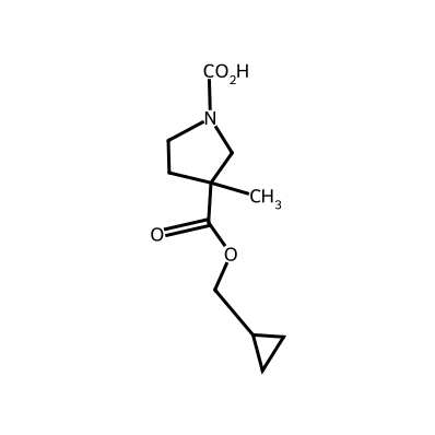 CC1(C(=O)OCC2CC2)CCN(C(=O)O)C1